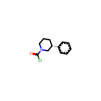 O=C(Cl)N1CCC[C@H](c2ccccc2)C1